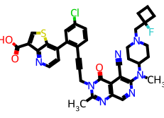 Cc1nc2cnc(N(C)C3CCN(CC4(F)CCC4)CC3)c(C#N)c2c(=O)n1CC#Cc1ccc(Cl)cc1-c1ccnc2c(C(=O)O)csc12